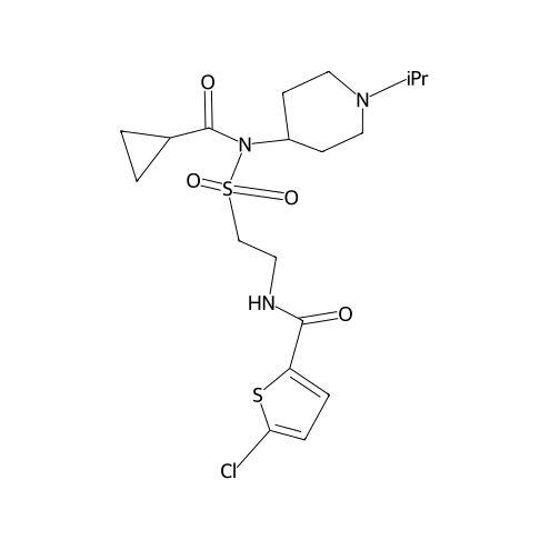 CC(C)N1CCC(N(C(=O)C2CC2)S(=O)(=O)CCNC(=O)c2ccc(Cl)s2)CC1